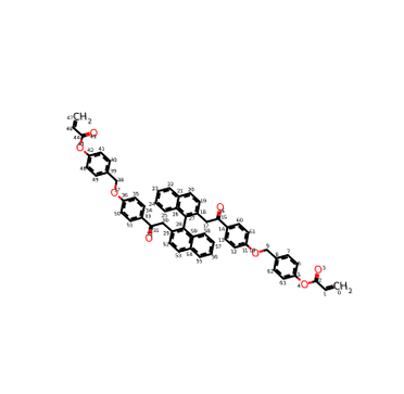 C=CC(=O)Oc1ccc(COc2ccc(C(=O)Cc3ccc4ccccc4c3-c3c(CC(=O)c4ccc(OCc5ccc(OC(=O)C=C)cc5)cc4)ccc4ccccc34)cc2)cc1